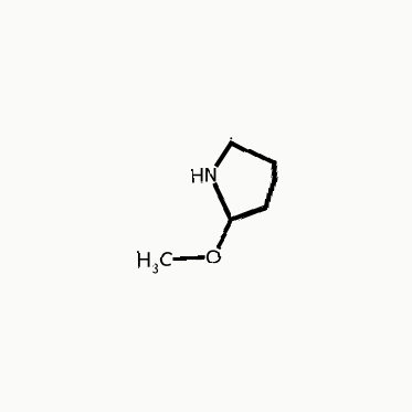 COC1CC[CH]N1